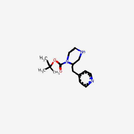 CC(C)(C)OC(=O)N1CCNCC1Cc1ccncc1